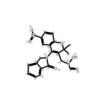 CC1(C)Oc2ccc([N+](=O)[O-])cc2C(N2Cc3ccccc3C2=O)=C1CN(O)C=O